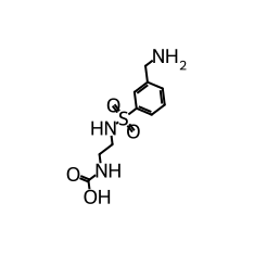 NCc1cccc(S(=O)(=O)NCCNC(=O)O)c1